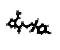 Cc1ccc(S(=O)(=O)CCOC(=O)N2CCCC2CO)cc1